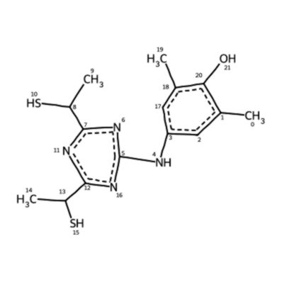 Cc1cc(Nc2nc(C(C)S)nc(C(C)S)n2)cc(C)c1O